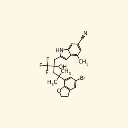 Cc1cc(C#N)cc2[nH]c(CC(O)(CC(C)(C)c3cc(Br)cc4c3OCC4)C(F)(F)F)cc12